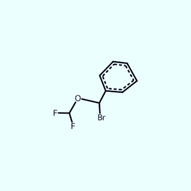 FC(F)OC(Br)c1ccccc1